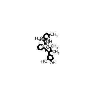 CC1CCC(C)C(O)(C(=O)C(=O)N2CCCCC2C(=O)OC(C)C(C)CC2CCC(O)C(O)C2)O1